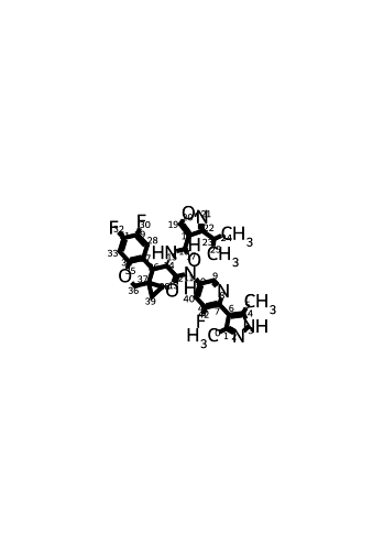 Cc1n[nH]c(C)c1-c1ncc(NC(=O)[C@@H](NC(O)c2conc2C(C)C)C2c3cc(F)c(F)cc3OCC23CC3)cc1F